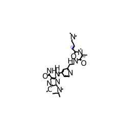 CCc1nc(C(N)=O)c(Nc2ccnc(CCNC(=O)[C@H](C)N(C)C(=O)/C=C/CN(C)C)c2)nc1N(C)C(C)C